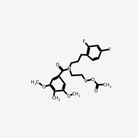 COc1cc(C(=O)N(CCCc2ccc(F)cc2F)CCSOC(C)=O)cc(OC)c1C